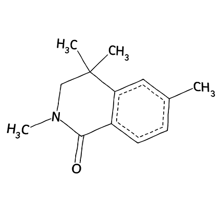 Cc1ccc2c(c1)C(C)(C)CN(C)C2=O